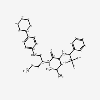 CC(C)C[C@H](N[C@@H](c1ccccc1)C(F)(F)F)C(=O)N[C@@H](CCN)CNc1ccc(N2CCOCC2)cc1